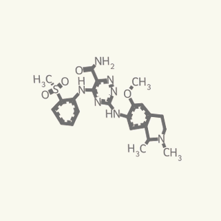 COc1cc2c(cc1Nc1nnc(C(N)=O)c(Nc3ccccc3S(C)(=O)=O)n1)C(C)N(C)CC2